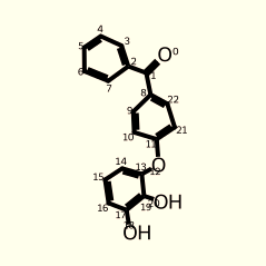 O=C(c1ccccc1)c1ccc(Oc2cccc(O)c2O)cc1